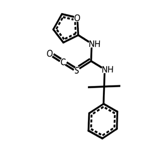 CC(C)(NC(Nc1ccco1)=S=C=O)c1ccccc1